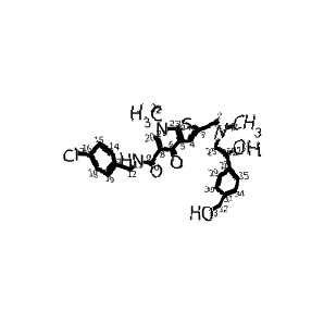 CN(Cc1cc2c(=O)c(C(=O)NCc3ccc(Cl)cc3)cn(C)c2s1)C[C@@H](O)c1ccc(CO)cc1